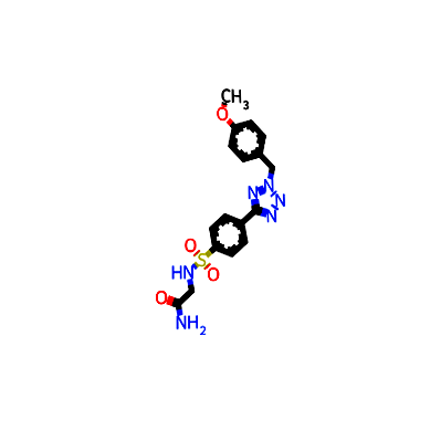 COc1ccc(Cn2nnc(-c3ccc(S(=O)(=O)NCC(N)=O)cc3)n2)cc1